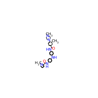 CC1CC(C(=O)Nc2ccc(Nc3ccc(NC(=O)c4cccn4C)cc3)cc2)=CC=C1N1CCN(C)CC1